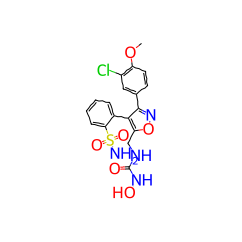 COc1ccc(-c2noc(CNC(=O)NO)c2-c2ccccc2S(N)(=O)=O)cc1Cl